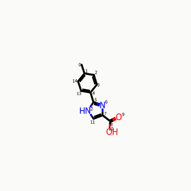 Cc1ccc(-c2nc(C(=O)O)c[nH]2)cc1